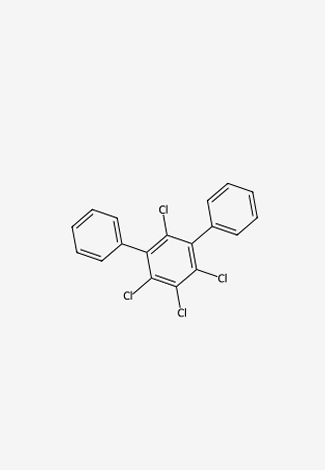 Clc1c(Cl)c(-c2ccccc2)c(Cl)c(-c2ccccc2)c1Cl